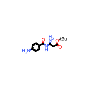 CC(C)(C)OC(=O)CC(N)NC(=O)c1ccc(N)cc1